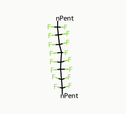 CCCCCC(F)(F)C(F)(F)C(F)(F)C(F)(F)C(F)(F)C(F)(F)C(F)(F)C(F)(F)CCCCC